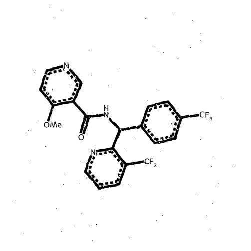 COc1ccncc1C(=O)NC(c1ccc(C(F)(F)F)cc1)c1ncccc1C(F)(F)F